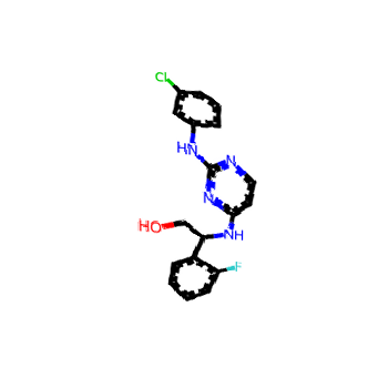 OCC(Nc1ccnc(Nc2cccc(Cl)c2)n1)c1ccccc1F